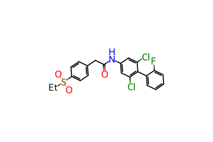 CCS(=O)(=O)c1ccc(CC(=O)Nc2cc(Cl)c(-c3ccccc3F)c(Cl)c2)cc1